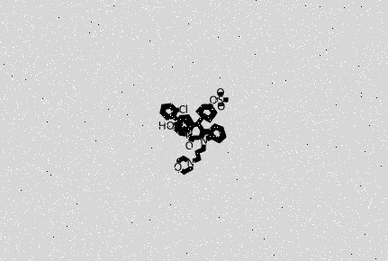 CS(=O)(=O)Oc1ccc(C(c2ccc(O)cc2)c2c(C(=O)N3CCN(c4ccccc4Cl)CC3)n(CCCN3CCOCC3)c3ccccc23)cc1